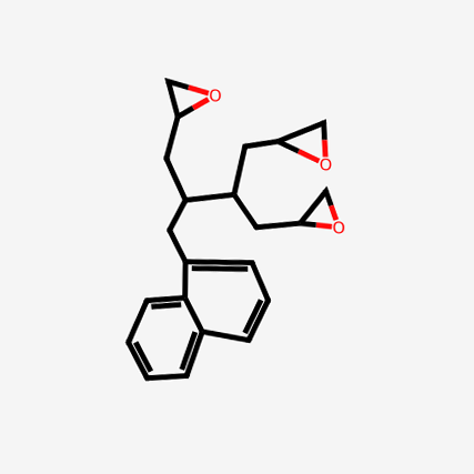 c1ccc2c(CC(CC3CO3)C(CC3CO3)CC3CO3)cccc2c1